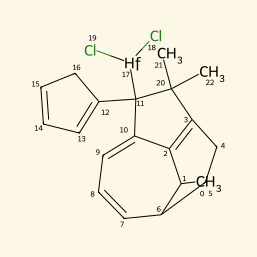 CC1C2=C3CCC1C=CC=C2[C](C1=CC=CC1)([Hf]([Cl])[Cl])C3(C)C